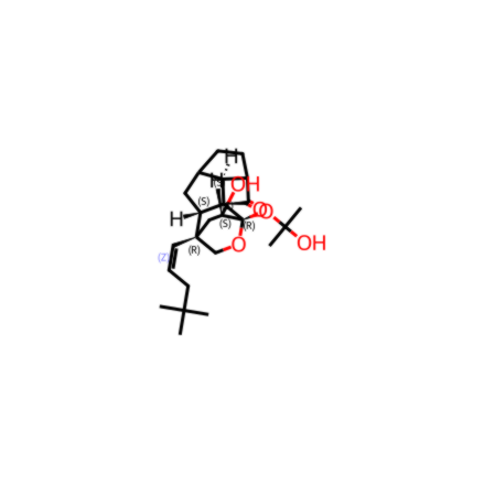 CC(C)(C)C/C=C\[C@]12CO[C@](OC(C)(C)O)([C@@H](O)C1)[C@]13C(=O)C4CCC(C[C@@H]21)[C@@H]43